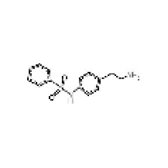 NCCc1ccc(NS(=O)(=O)c2ccccc2)cc1